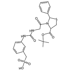 CC(C)(C)OC(=O)C1CSC(c2ccccc2)N1C(=O)CNC(=O)Nc1cccc(CS(=O)(=O)O)c1